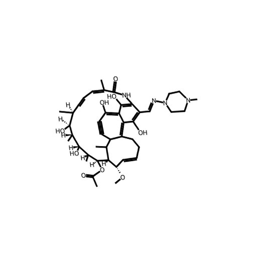 CO[C@H]1/C=C/CCC2=c3c(O)c(/C=N/N4CCN(C)CC4)c4c(O)c3=C(O)C#CC2C(C)[C@H]1[C@@H](OC(C)=O)[C@H](C)[C@H](O)[C@H](C)[C@@H](O)[C@@H](C)/C=C/C=C(/C)C(=O)N4